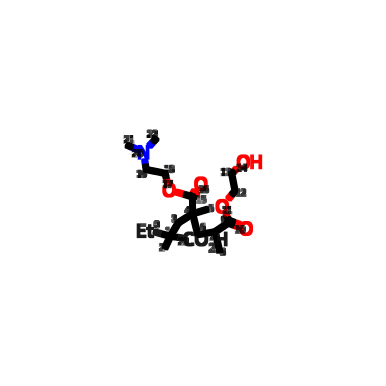 CCC(C)(CC(C)(CC(C)C(=O)OCCO)C(=O)OCCN(C)C)C(=O)O